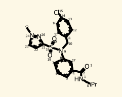 CC(C)NC(=O)c1cccc(N(Cc2ccc(Cl)cc2)S(=O)(=O)c2ccn(C)n2)c1